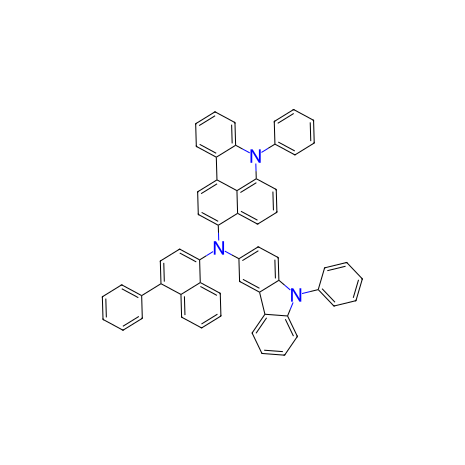 c1ccc(-c2ccc(N(c3ccc4c(c3)c3ccccc3n4-c3ccccc3)c3ccc4c5c(cccc35)N(c3ccccc3)c3ccccc3-4)c3ccccc23)cc1